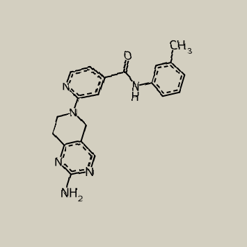 Cc1cccc(NC(=O)c2ccnc(N3CCc4nc(N)ncc4C3)c2)c1